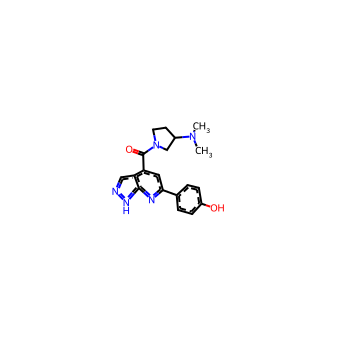 CN(C)C1CCN(C(=O)c2cc(-c3ccc(O)cc3)nc3[nH]ncc23)C1